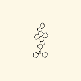 c1ccc(N(c2ccccc2)c2ccc3c(c2)sc2c4cccc5c6c7ccccc7sc6c6cccc(c32)c6c45)cc1